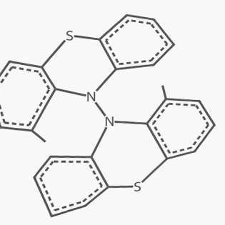 Cc1cccc2c1N(N1c3ccccc3Sc3cccc(C)c31)c1ccccc1S2